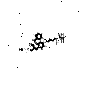 N=C(N)NCCCCOc1ccc2cc(CC(=O)O)c(=O)n(Cc3ccccc3)c2c1